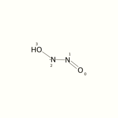 O=N[N]O